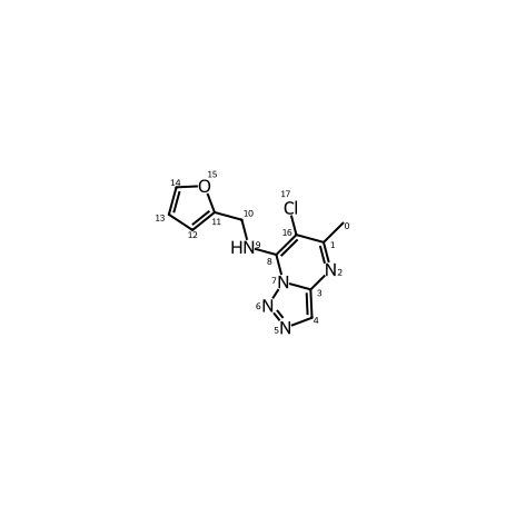 Cc1nc2cnnn2c(NCc2ccco2)c1Cl